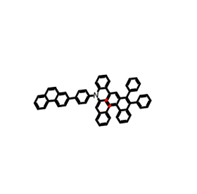 c1ccc(-c2c(-c3ccccc3)c3cc(-c4ccccc4N(c4ccc(-c5ccc6c(ccc7ccccc76)c5)cc4)c4ccc5ccccc5c4)ccc3c3ccccc23)cc1